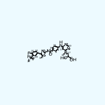 Cc1sc(NC(=O)c2ccc(Nc3cc(N(C)CC(O)CO)ncn3)cc2)nc1-c1ccc(F)c(C(F)(F)F)c1